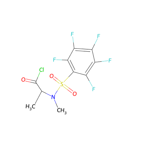 CC(C(=O)Cl)N(C)S(=O)(=O)c1c(F)c(F)c(F)c(F)c1F